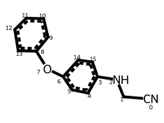 N#CCNc1ccc(Oc2ccccc2)cc1